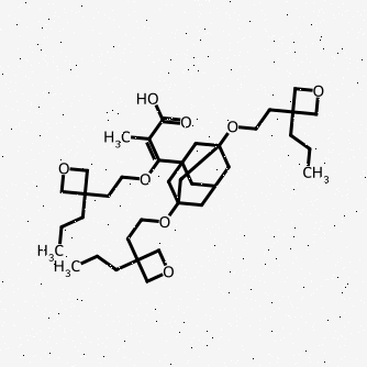 CCCC1(CCOC(=C(C)C(=O)O)C23CC4CC(OCCC5(CCC)COC5)(CC(OCCC5(CCC)COC5)(C4)C2)C3)COC1